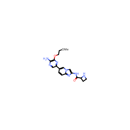 COCCOc1nc(-c2ccc3nc(NC(=O)C4CCN4)cn3c2)cnc1N